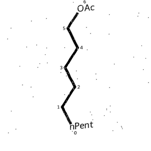 CCCCCCCCCCOC(C)=O